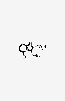 CCSc1c(C(=O)O)nc2cccc(CC)n12